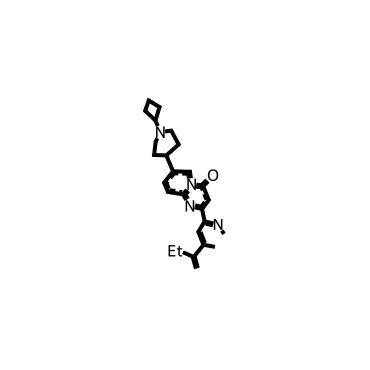 C=C(CC)/C(C)=C/C(=N\C)c1cc(=O)n2cc(C3CCN(C4CCC4)CC3)ccc2n1